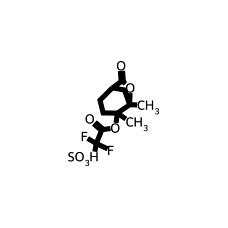 CC12CC(CCC1(C)OC(=O)C(F)(F)S(=O)(=O)O)C(=O)O2